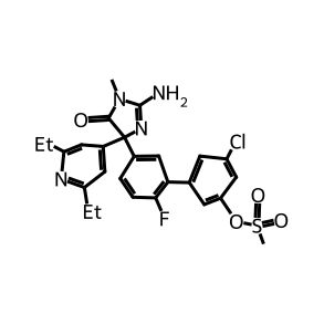 CCc1cc(C2(c3ccc(F)c(-c4cc(Cl)cc(OS(C)(=O)=O)c4)c3)N=C(N)N(C)C2=O)cc(CC)n1